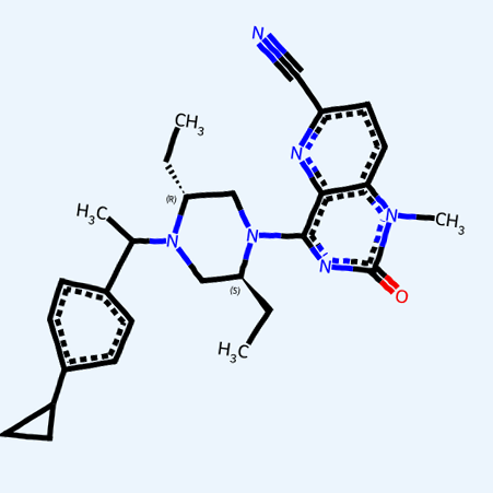 CC[C@H]1CN(C(C)c2ccc(C3CC3)cc2)[C@H](CC)CN1c1nc(=O)n(C)c2ccc(C#N)nc12